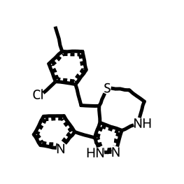 Cc1ccc(CC2SCCNc3n[nH]c(-c4ccccn4)c32)c(Cl)c1